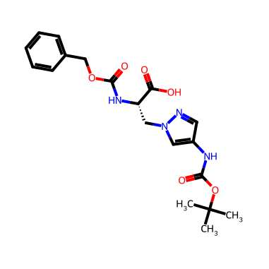 CC(C)(C)OC(=O)Nc1cnn(C[C@H](NC(=O)OCc2ccccc2)C(=O)O)c1